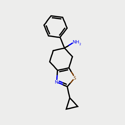 NC1(c2ccccc2)CCc2nc(C3CC3)sc2C1